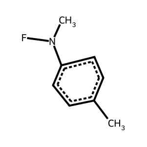 Cc1ccc(N(C)F)cc1